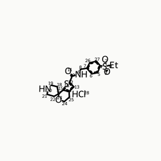 CCS(=O)(=O)c1ccc(CNC(=O)c2cc3c(s2)C2(CCNCC2)OCC3)cc1.Cl